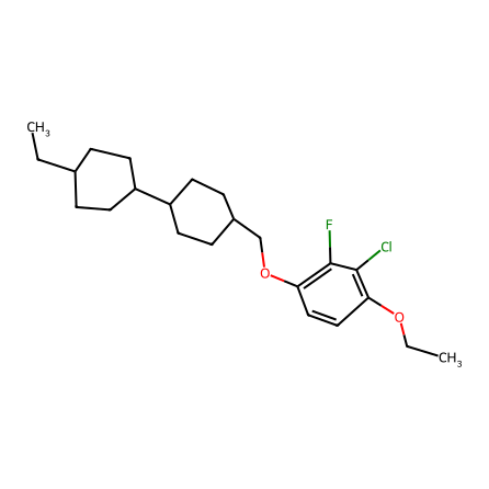 CCOc1ccc(OCC2CCC(C3CCC(CC)CC3)CC2)c(F)c1Cl